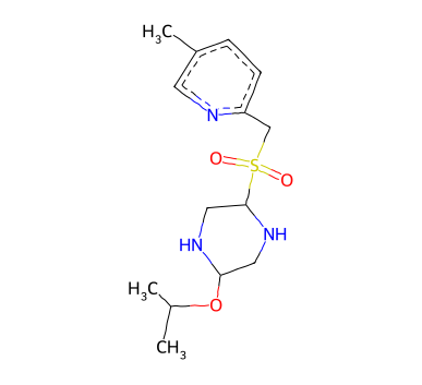 Cc1ccc(CS(=O)(=O)C2CNC(OC(C)C)CN2)nc1